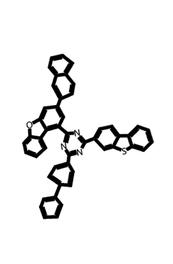 c1ccc(-c2ccc(-c3nc(-c4ccc5c(c4)sc4ccccc45)nc(-c4cc(-c5ccc6ccccc6c5)cc5oc6ccccc6c45)n3)cc2)cc1